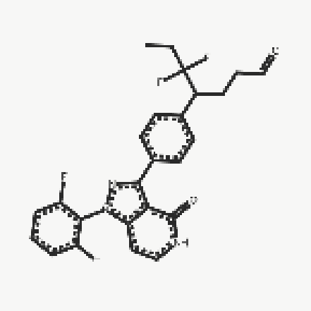 CCC(F)(F)C(CCC=O)c1ccc(-c2nn(-c3c(F)cccc3F)c3cc[nH]c(=O)c23)cc1